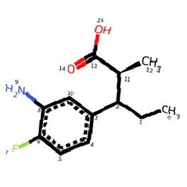 CCC(c1ccc(F)c(N)c1)[C@H](C)C(=O)O